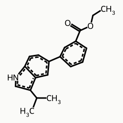 CCOC(=O)c1cccc(-c2ccc3[nH]cc(C(C)C)c3c2)c1